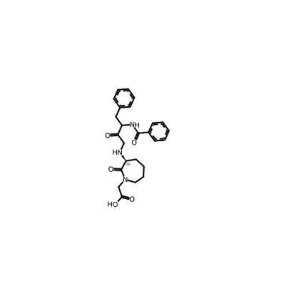 O=C(O)CN1CCCC[C@H](NCC(=O)C(Cc2ccccc2)NC(=O)c2ccccc2)C1=O